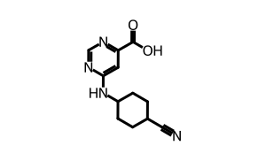 N#CC1CCC(Nc2cc(C(=O)O)ncn2)CC1